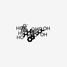 O=CC(O)C(O)C(O)C(O)CO.O=CC(O)C(O)C(O)CO.O=[N+]([O-])O.c1ccc2[nH]ccc2c1